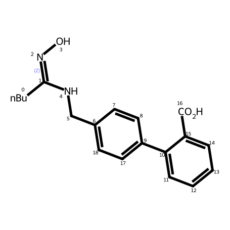 CCCC/C(=N/O)NCc1ccc(-c2ccccc2C(=O)O)cc1